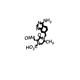 COC[C@H]1C(=O)N(Cc2ccc3c(N)ncnc3c2)[C@H](C)CN1C(=O)O